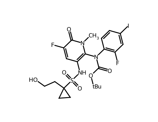 Cn1c(N(C(=O)OC(C)(C)C)c2ccc(I)cc2F)c(NS(=O)(=O)C2(CCO)CC2)cc(F)c1=O